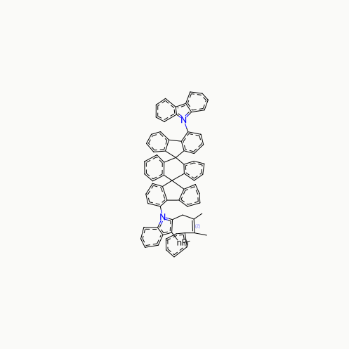 CCCc1c(C/C(C)=C(/C)c2ccccc2)n(-c2cccc3c2-c2ccccc2C32c3ccccc3C3(c4ccccc4-c4c(-n5c6ccccc6c6ccccc65)cccc43)c3ccccc32)c2ccccc12